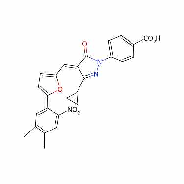 Cc1cc(-c2ccc(C=C3C(=O)N(c4ccc(C(=O)O)cc4)N=C3C3CC3)o2)c([N+](=O)[O-])cc1C